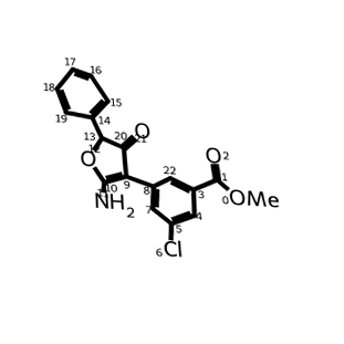 COC(=O)c1cc(Cl)cc(C2=C(N)OC(c3ccccc3)C2=O)c1